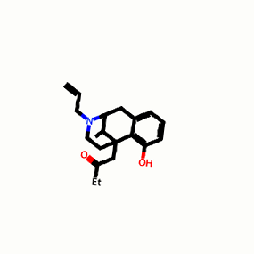 C=CCN1CCC2(CC(=O)CC)c3c(O)cccc3CC1C2C